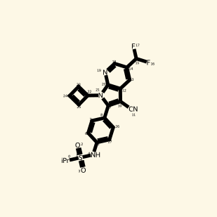 CC(C)S(=O)(=O)Nc1ccc(-c2c(C#N)c3cc(C(F)F)cnc3n2C2=CC=C2)cc1